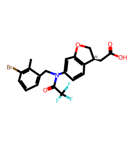 Cc1c(Br)cccc1CN(C(=O)C(F)(F)F)c1ccc2c(c1)OC[C@H]2CC(=O)O